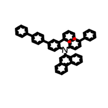 c1ccc(-c2ccc(-c3ccc(N(c4ccc(-c5ccccc5)cc4)c4cc5ccccc5c5ccccc45)c(-c4ccccc4)c3)cc2)cc1